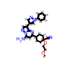 COCCOC1(C#N)CCC(c2cc(N)n3ncc(-c4cnn(-c5ccccc5)c4)c3n2)CC1